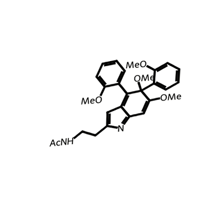 COC1=CC2=NC(CCNC(C)=O)=CC2=C(c2ccccc2OC)C1(OC)c1ccccc1OC